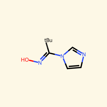 CC(C)(C)C(=NO)n1ccnc1